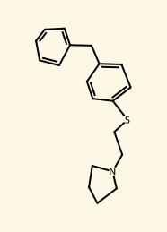 c1ccc(Cc2ccc(SCCN3CCCC3)cc2)cc1